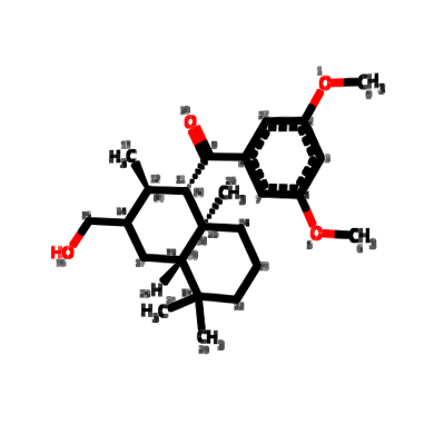 COc1cc(OC)cc(C(=O)[C@H]2[C@H](C)C(CO)C[C@H]3C(C)(C)CCC[C@]23C)c1